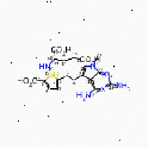 Cn1cc(CCC2=CC=C(C(=O)O)[SH]2N[C@@H](CCC(=O)O)C(=O)O)c2c(N)nc(N)nc21